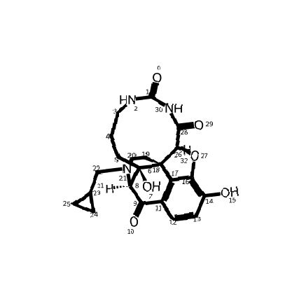 O=C1NCCC[C@@]2(O)[C@H]3C(=O)c4ccc(O)c5c4[C@@]2(CCN3CC2CC2)[C@@H](O5)C(=O)N1